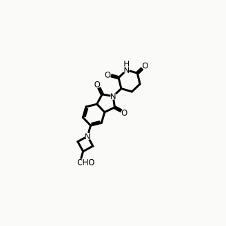 O=CC1CN(C2=CC3C(=O)N(C4CCC(=O)NC4=O)C(=O)C3C=C2)C1